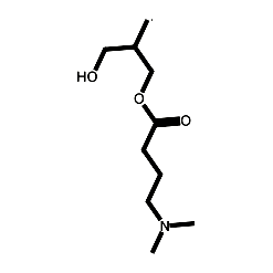 [CH2]C(CO)COC(=O)CCCN(C)C